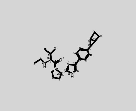 CCN[C@H](C(=O)N1CCC[C@H]1c1nc(-c2ccc(C3C4CCC43)cc2)c[nH]1)C(C)C